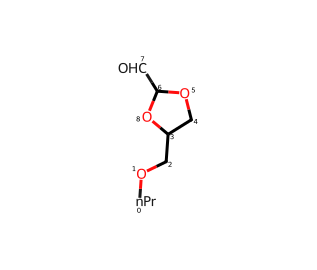 CCCOCC1COC(C=O)O1